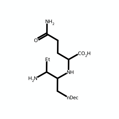 CCCCCCCCCCCC(NC(CCC(N)=O)C(=O)O)C(N)CC